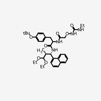 CCNC(=O)NOCC(=O)NC(Cc1ccc(OC(C)(C)C)cc1)C(=O)N[C@H](c1cccc2ccccc12)[C@H](C)C(OCC)OCC